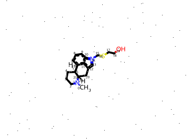 CN1CCC[C@H]2c3cccc4c3c(cn4CSCCO)C[C@@H]21